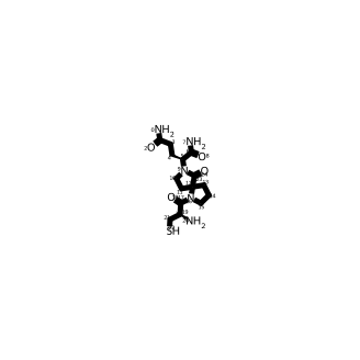 NC(=O)CC[C@@H](C(N)=O)N1CCC2(CCCN2C(=O)[C@@H](N)CS)C1=O